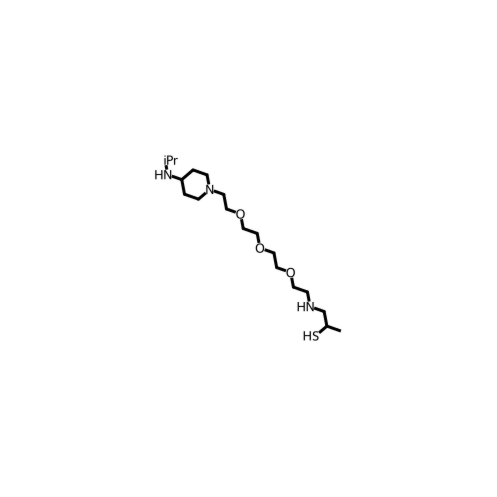 CC(S)CNCCOCCOCCOCCN1CCC(NC(C)C)CC1